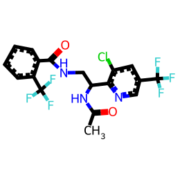 CC(=O)NC(CNC(=O)c1ccccc1C(F)(F)F)c1ncc(C(F)(F)F)cc1Cl